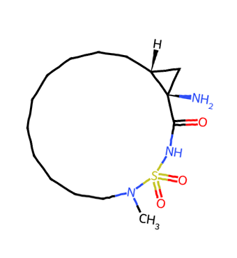 CN1CCCCCCCCCC[C@@H]2C[C@]2(N)C(=O)NS1(=O)=O